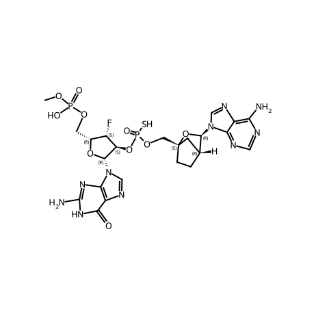 COP(=O)(O)OC[C@H]1O[C@@H](n2cnc3c(=O)[nH]c(N)nc32)[C@H](OP(=O)(S)OC[C@]23CC[C@H](C2)[C@H](n2cnc4c(N)ncnc42)O3)[C@H]1F